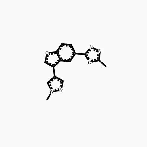 Cc1nnc(-c2ccc3occ(-c4cnn(C)c4)c3c2)o1